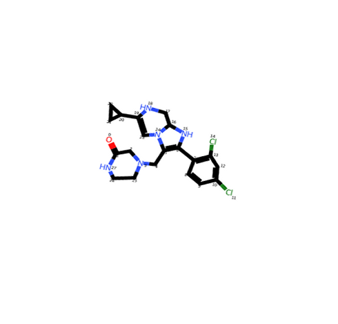 O=C1CN(CC2=C(c3ccc(Cl)cc3Cl)NC3CNC(C4CC4)=CN23)CCN1